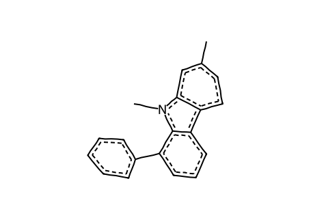 Cc1ccc2c3cccc(-c4ccccc4)c3n(C)c2c1